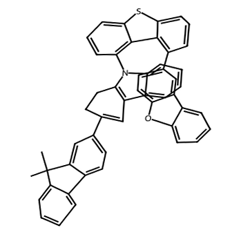 CC1(C)c2ccccc2-c2ccc(C3=Cc4c(n(-c5cccc6sc7cccc(-c8ccc9oc%10ccccc%10c9c8)c7c56)c5ccccc45)CC3)cc21